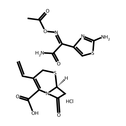 C=CC1=C(C(=O)O)N2C(=O)C[C@@H]2SC1.CC(=O)O/N=C(\C(N)=O)c1csc(N)n1.Cl